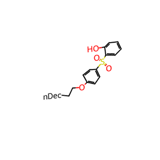 CCCCCCCCCCCCOc1ccc(S(=O)(=O)c2ccccc2O)cc1